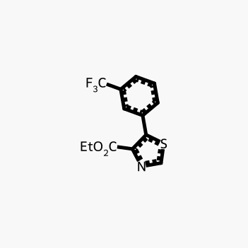 CCOC(=O)c1ncsc1-c1cccc(C(F)(F)F)c1